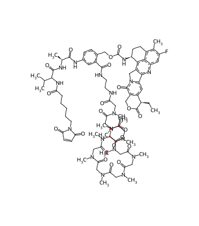 CC[C@H]1C(=O)OCc2c1cc1n(c2=O)Cc2c-1nc1cc(F)c(C)c3c1c2[C@@H](NC(=O)OCc1ccc(NC(=O)[C@H](C)NC(=O)C(NC(=O)CCCCCN2C(=O)C=CC2=O)C(C)C)cc1C(=O)NCCNC(=O)CN(C)C(=O)CN(C)C(=O)CN(C)C(=O)CN(C)C(=O)CN(C)C(=O)CN(C)C(=O)CN(C)C(=O)CN(C)C(=O)CN(C)C(=O)CN(C)C(C)=O)CC3